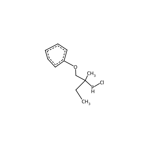 CCC(C)(COc1ccccc1)PCl